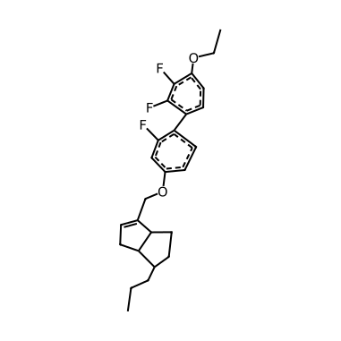 CCCC1CCC2C(COc3ccc(-c4ccc(OCC)c(F)c4F)c(F)c3)=CCC12